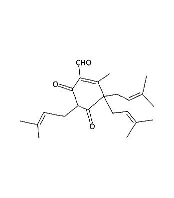 CC(C)=CCC1C(=O)C(C=O)=C(C)C(CC=C(C)C)(CC=C(C)C)C1=O